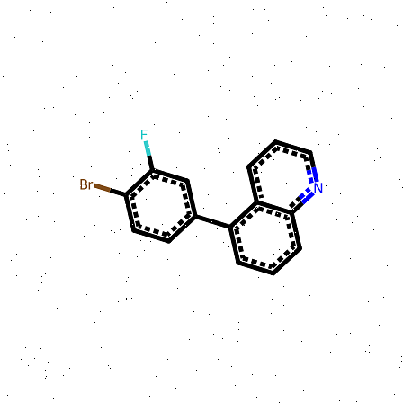 Fc1cc(-c2cccc3ncccc23)ccc1Br